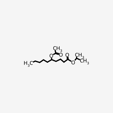 CCCCCC(CCCC(=O)OC(C)C)OC(C)=O